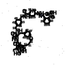 CC(C)C[C@H]1C(=O)N[C@H](C(=O)NCc2ccc(CNC(=O)c3ccc(N/N=C/c4ccccc4S(=O)(=O)O)nc3)cc2)Cc2ccc(cc2)OCCC[C@@H]1C(=O)NO